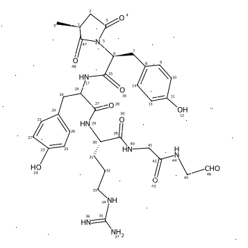 C[C@H]1CC(=O)N([C@@H](Cc2ccc(O)cc2)C(=O)NC(Cc2ccc(O)cc2)C(=O)N[C@@H](CCCNC(=N)N)C(=O)NCC(=O)NCC=O)C1=O